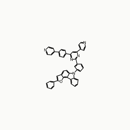 c1ccc(-c2cc3ccc4c(c5ccccc5n4-c4cccc(-c5nc(-c6ccncc6)cc(-c6ccc(-c7ccncc7)cc6)n5)c4)c3o2)cc1